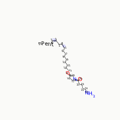 CCCCC/C=C\C/C=C\CCCCCCCCO[C@H]1CCN(C(=O)CCCCN)C1